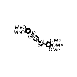 COc1ccc(S(=O)(=O)N2CCN(c3nc(-c4cc(OC)c(OC)c(OC)c4)cs3)CC2)cc1OC